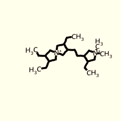 CCC1C[N+](C)(C)CC1CCC1C[N+]2(CC(CC)C(CC)C2)CC1CC